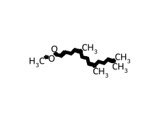 CCOC(=O)C=CCC=C(C)CCC=C(C)CCC=C(C)C